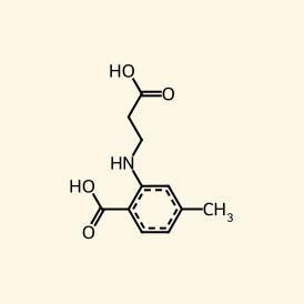 Cc1ccc(C(=O)O)c(NCCC(=O)O)c1